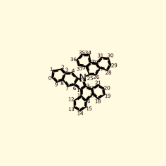 c1ccc2cc3c(cc2c1)c1c2ccccc2c2ccccc2c1n3-c1cc2ccccc2c2ccccc12